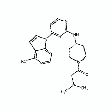 CN(C)CC(=O)N1CCC(Nc2nccc(-n3ccc4c(C#N)cccc43)n2)CC1